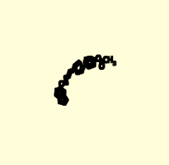 CC(=O)Oc1ccc(N2CCN(CCCCOc3ccc4c(c3)CCC4)CC2)cc1